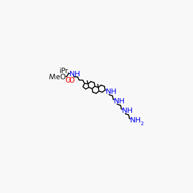 COC(=O)C(NC(=O)CCCC1CCC2C3CCC4CC(NCCCNCCCNCCCN)CCC4(C)C3CCC12C)C(C)C